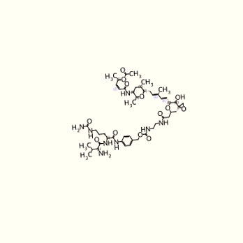 CC(=O)O[C@@H](C)/C=C\C(=O)N[C@@H]1C[C@H](C)[C@H](C/C=C(C)/C=C/[C@H]2OC(CC(=O)NCCNC(=O)OCc3ccc(NC(=O)[C@H](CCCNC(N)=O)NC(=O)[C@@H](N)C(C)C)cc3)C[C@@]3(CO3)[C@@H]2O)O[C@@H]1C